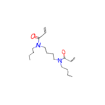 C=CC(=O)N(CCCC)CCCCN(CCCC)C(=O)C=C